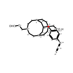 O=COCN1CCN2CCN(CC(=O)O)CCN(CC1)CC(Cc1ccc(N=C=S)cc1)C2